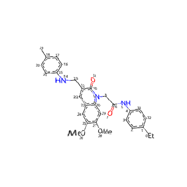 CCc1ccc(NC(=O)Cn2c(=O)c(CNc3ccc(C)cc3)cc3cc(OC)c(OC)cc32)cc1